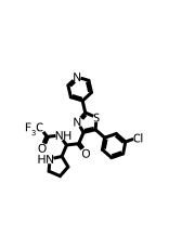 O=C(c1nc(-c2ccncc2)sc1-c1cccc(Cl)c1)C(NC(=O)C(F)(F)F)C1CCCN1